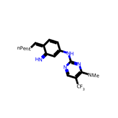 CCCCC/C=C1/C=CC(Nc2ncc(C(F)(F)F)c(NC)n2)=CC1=N